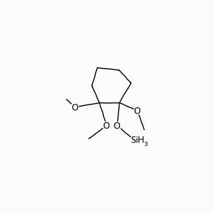 COC1(OC)CCCCC1(OC)O[SiH3]